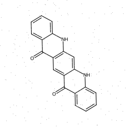 O=c1c2ccccc2[nH]c2cc3[nH]c4ccccc4c(=O)c3cc12